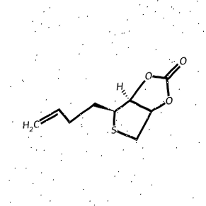 C=CCC[C@@H]1SCC2OC(=O)O[C@@H]21